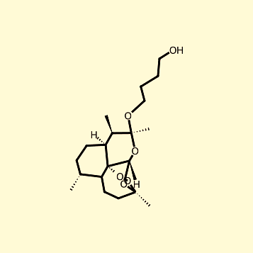 C[C@@H]1CC[C@H]2[C@@H](C)[C@@](C)(OCCCCO)O[C@@H]3O[C@]4(C)CCC1[C@]32OO4